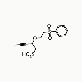 CC#CC(CS(=O)(=O)O)OCCS(=O)(=O)c1ccccc1